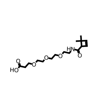 CC1(C)C=CC1C(=O)NCCOCCOCCOCCC(=O)O